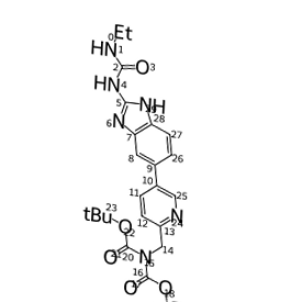 CCNC(=O)Nc1nc2cc(-c3ccc(CN(C(=O)OC(C)(C)C)C(=O)OC(C)(C)C)nc3)ccc2[nH]1